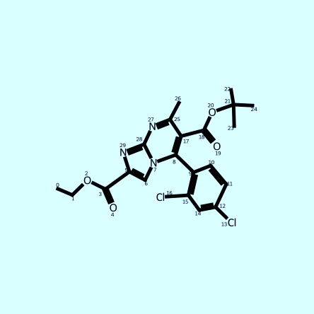 CCOC(=O)c1cn2c(-c3ccc(Cl)cc3Cl)c(C(=O)OC(C)(C)C)c(C)nc2n1